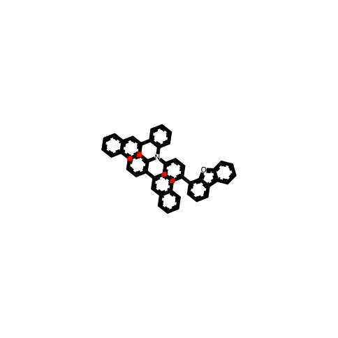 c1ccc(N(c2ccc(-c3cccc4c3oc3ccccc34)cc2)c2ccccc2-c2ccc3ccccc3c2)c(-c2ccc3ccccc3c2)c1